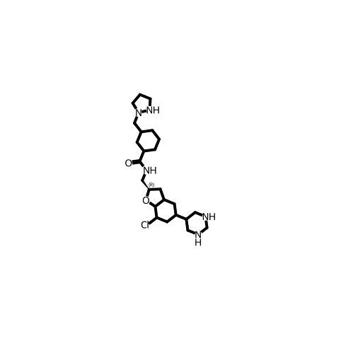 O=C(NC[C@H]1CC2CC(C3CNCNC3)CC(Cl)C2O1)C1CCCC(CN2CCCN2)C1